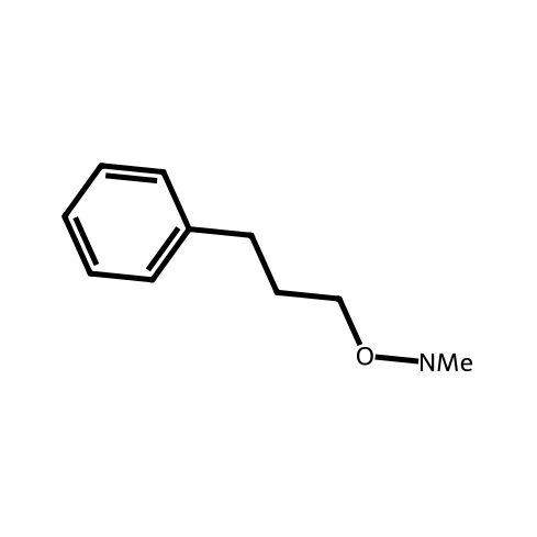 CNOCCCc1ccccc1